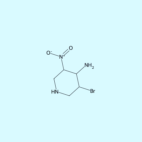 NC1C(Br)CNCC1[N+](=O)[O-]